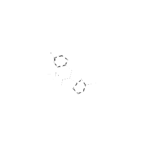 CC(N)C(Cc1ccc(Cl)cc1)c1cccc(Br)c1